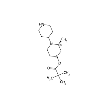 C[C@H]1CN(OC(=O)C(C)(C)C)CCN1C1CCNCC1